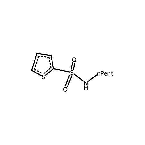 [CH2]CCCCNS(=O)(=O)c1cccs1